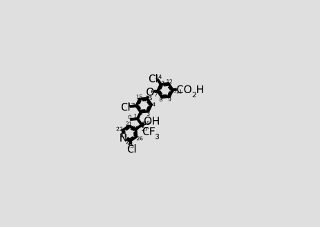 CC(c1ccc(Oc2ccc(C(=O)O)cc2Cl)cc1Cl)C(O)(c1ccnc(Cl)c1)C(F)(F)F